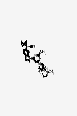 Cc1nc(N2C[C@@H]3OCCN(C)[C@@H]3C2)cc(-n2ncc3ccc([C@]4(C#N)CC45CC5)cc32)n1